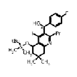 CC(C)c1nc2c(c(I)c1[C@@H](O)c1ccc(F)cc1)C(O[Si](C)(C)C(C)(C)C)CC(C)(C)C2